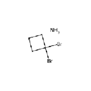 BrC1(Br)CCC1.N